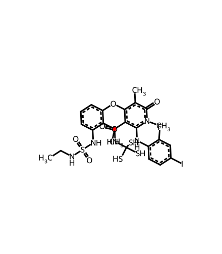 CCNS(=O)(=O)Nc1cccc(Oc2c(C(=O)NC(S)(S)S)c(Nc3ccc(I)cc3F)n(C)c(=O)c2C)c1OC